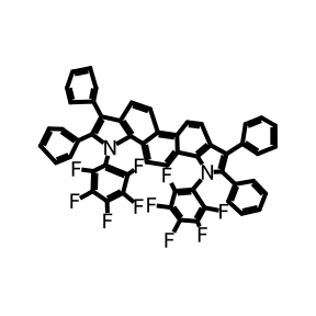 Fc1c(F)c(F)c(-n2c(-c3ccccc3)c(-c3ccccc3)c3ccc4c5ccc6c(-c7ccccc7)c(-c7ccccc7)n(-c7c(F)c(F)c(F)c(F)c7F)c6c5ccc4c32)c(F)c1F